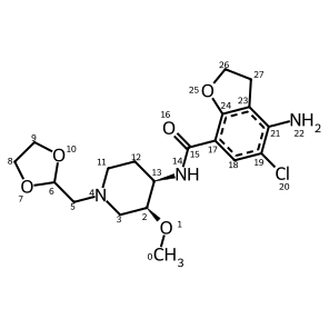 CO[C@H]1CN(CC2OCCO2)CC[C@H]1NC(=O)c1cc(Cl)c(N)c2c1OCC2